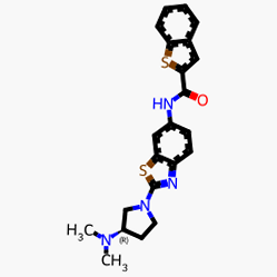 CN(C)[C@@H]1CCN(c2nc3ccc(NC(=O)c4cc5ccccc5s4)cc3s2)C1